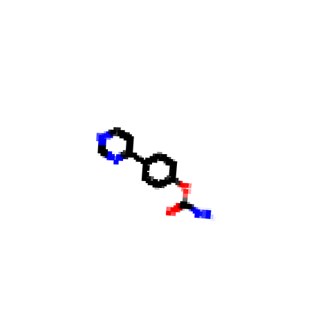 NC(=O)Oc1ccc(-c2ccncn2)cc1